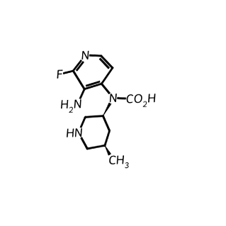 C[C@H]1CNC[C@@H](N(C(=O)O)c2ccnc(F)c2N)C1